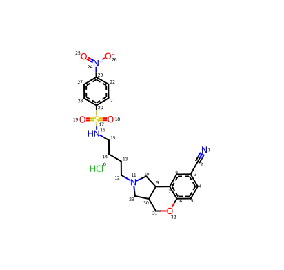 Cl.N#Cc1ccc2c(c1)C1CN(CCCCNS(=O)(=O)c3ccc([N+](=O)[O-])cc3)CC1CO2